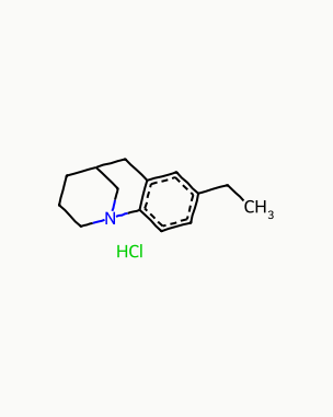 CCc1ccc2c(c1)CC1CCCN2C1.Cl